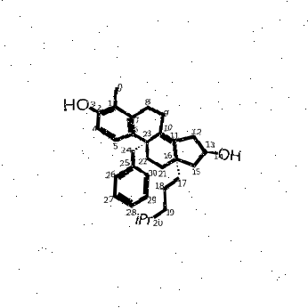 Cc1c(O)ccc2c1CCC1=C3C[C@@H](O)C[C@@]3(CCCC(C)C)CC[C@]12Cc1ccccc1